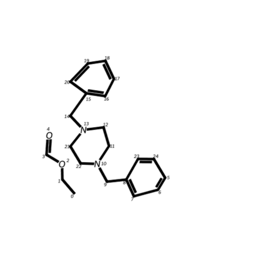 CCOC=O.c1ccc(CN2CCN(Cc3ccccc3)CC2)cc1